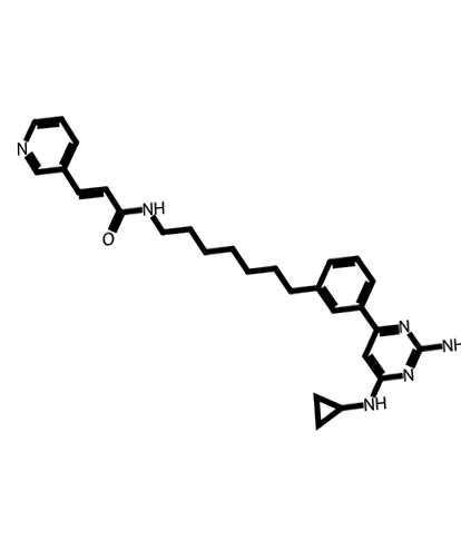 Nc1nc(NC2CC2)cc(-c2cccc(CCCCCCCNC(=O)/C=C/c3cccnc3)c2)n1